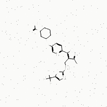 Cc1noc(-c2ccc(O[C@H]3CCC[C@H](C(=O)O)C3)cn2)c1CNc1ncc(C(F)(F)F)s1